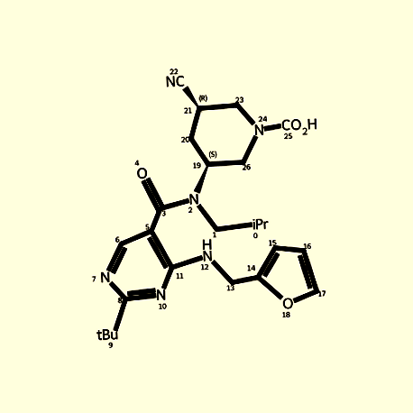 CC(C)CN(C(=O)c1cnc(C(C)(C)C)nc1NCc1ccco1)[C@H]1C[C@@H](C#N)CN(C(=O)O)C1